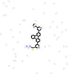 NC1SC1c1cncc(-c2ccc3c4ccc(-c5cncc(-c6nccs6)c5)cc4c4ccccc4c3c2)c1